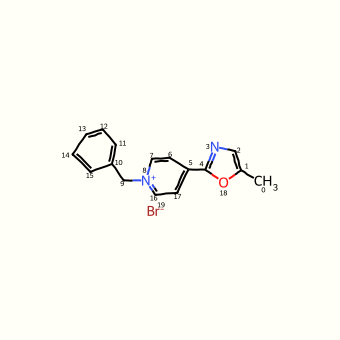 Cc1cnc(-c2cc[n+](Cc3ccccc3)cc2)o1.[Br-]